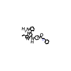 C=Cc1cnn2c(NC3CCN(C(=O)/C=C/c4ccccc4)CC3)cc(-c3ccccc3N)nc12